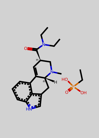 CCN(CC)C(=O)[C@@H]1C=C2c3cccc4[nH]cc(c34)C[C@H]2N(C)C1.CCP(=O)(O)O